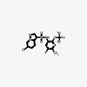 [2H]C([2H])([2H])Oc1nc(C(F)(F)F)c(F)cc1NS(=O)(=O)c1cnn2cc(Cl)ccc12